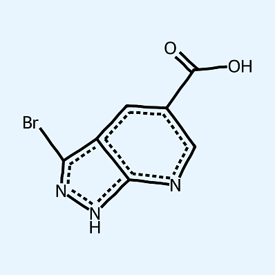 O=C(O)c1cnc2[nH]nc(Br)c2c1